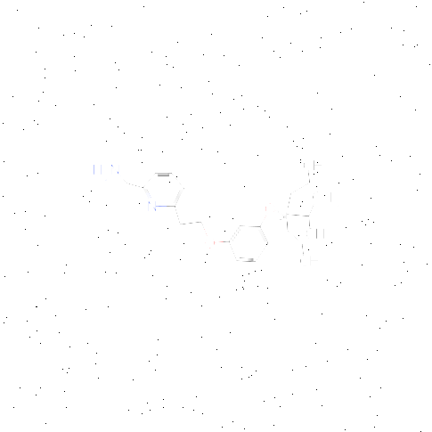 CCC[Si](CCC)(Oc1cccc(OCCc2cccc(CN)n2)c1)C(C)C